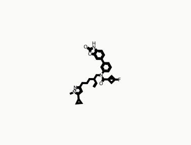 C=CC(CCCc1cc(C2CC2)n(C)n1)CN(C(=O)C12CC(F)(C1)C2)c1cccc(-c2ccc3[nH]c(=O)oc3c2)c1